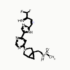 C[S+]([O-])NCC12CC1CN(c1cc(-c3cnc(/C=C\C(=N)C(F)F)[nH]3)ncn1)C2